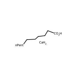 CCCCCCCCCCC(=O)O.[CaH2]